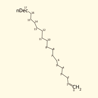 C=CCCCCCCCCCCCCCCCCCCCCCCCCC